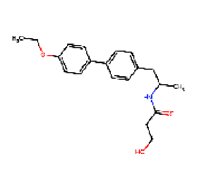 CCOc1ccc(-c2ccc(CC(C)NC(=O)CCO)cc2)cc1